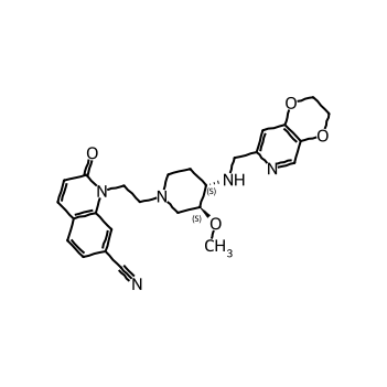 CO[C@H]1CN(CCn2c(=O)ccc3ccc(C#N)cc32)CC[C@@H]1NCc1cc2c(cn1)OCCO2